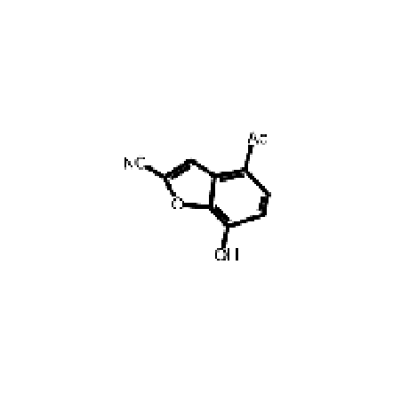 CC(=O)c1ccc(O)c2oc(C#N)cc12